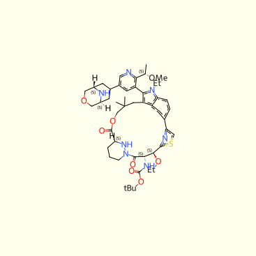 CCO[C@@H]1c2nc(cs2)-c2ccc3c(c2)c(c(-c2cc(C4C[C@H]5COC[C@H](C4)N5)cnc2[C@H](C)OC)n3CC)CC(C)(C)COC(=O)[C@@H]2CCCN(N2)C(=O)[C@H]1NC(=O)OC(C)(C)C